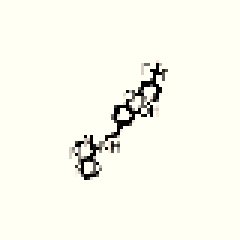 CC(F)(F)c1ccnc(Oc2ccc(CCNc3ncnc4nccnc34)cc2O)c1